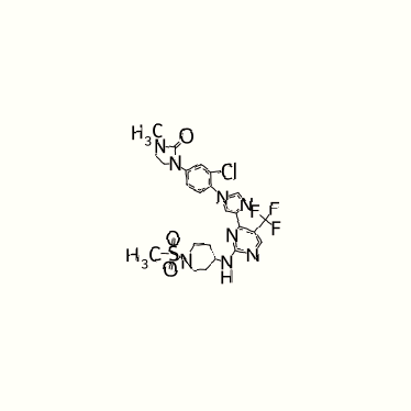 CN1CCN(c2ccc(-n3cnc(-c4nc(NC5CCN(S(C)(=O)=O)CC5)ncc4C(F)(F)F)c3)c(Cl)c2)C1=O